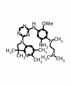 COc1cc(N(C)CCN(C)C)c(N)cc1Nc1ncnc(N2CC(C)(C)c3nc(C)c(C)cc32)n1